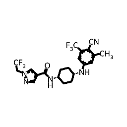 Cc1cc(N[C@H]2CC[C@@H](NC(=O)c3cnn(CC(F)(F)F)c3)CC2)cc(C(F)(F)F)c1C#N